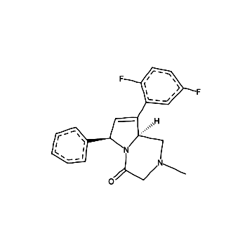 CN1CC(=O)N2[C@H](C1)C(c1cc(F)ccc1F)=C[C@@H]2c1ccccc1